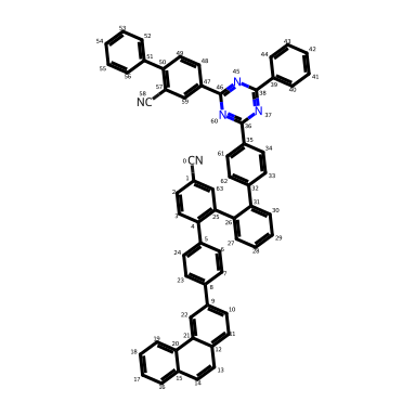 N#Cc1ccc(-c2ccc(-c3ccc4ccc5ccccc5c4c3)cc2)c(-c2ccccc2-c2ccc(-c3nc(-c4ccccc4)nc(-c4ccc(-c5ccccc5)c(C#N)c4)n3)cc2)c1